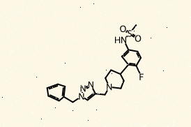 CS(=O)(=O)Nc1ccc(F)c(C2CCN(Cc3cn(Cc4ccccc4)nn3)CC2)c1